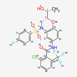 C[C@@H](O)[C@H]1CN(S(=O)(=O)c2ccc(F)cc2)c2cc(NC(=O)c3c(Cl)cccc3C(F)(F)F)ccc2O1